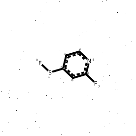 FSc1ccnc(F)c1